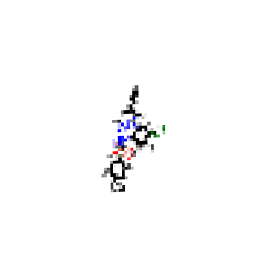 C#C/C(C)=C(\C)N(N=C)c1cc(Cl)ccc1NS(=O)(=O)c1ccc(C(C)(C)C)cc1